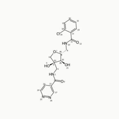 O=C(NC[C@]1(O)CO[C@H](CNC(=O)c2ccccc2Cl)[C@H]1O)c1ccnnc1